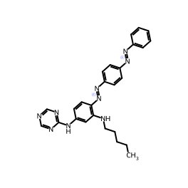 CCCCCNc1cc(Nc2ncncn2)ccc1/N=N/c1ccc(/N=N/c2ccccc2)cc1